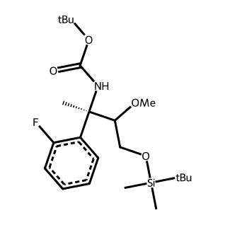 COC(CO[Si](C)(C)C(C)(C)C)[C@](C)(NC(=O)OC(C)(C)C)c1ccccc1F